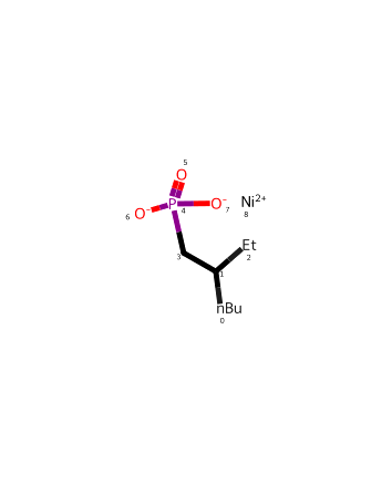 CCCCC(CC)CP(=O)([O-])[O-].[Ni+2]